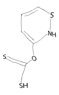 S=C(S)OC1=CC=CSN1